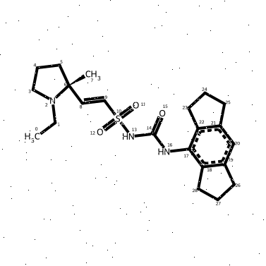 CCN1CCC[C@]1(C)/C=C/S(=O)(=O)NC(=O)Nc1c2c(cc3c1CCC3)CCC2